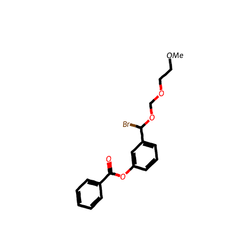 COCCOCOC(Br)c1cccc(OC(=O)c2ccccc2)c1